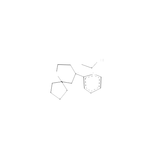 O=CCC[C@@]1(c2ccccn2)CCOC2(CCCC2)C1